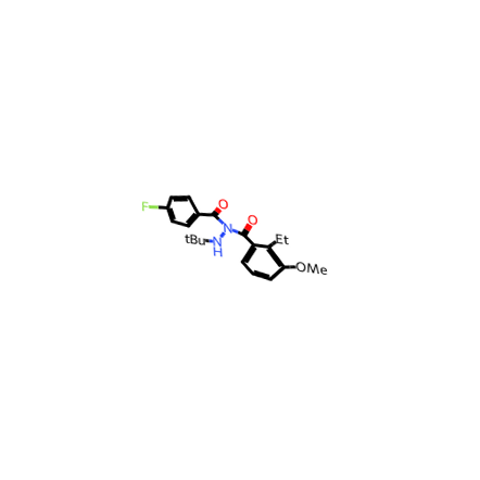 CCc1c(OC)cccc1C(=O)N(NC(C)(C)C)C(=O)c1ccc(F)cc1